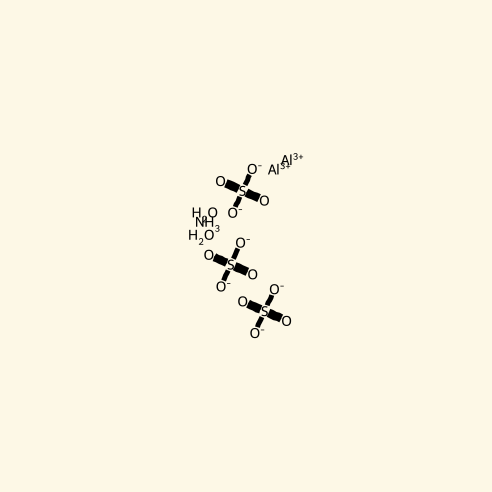 N.O.O.O=S(=O)([O-])[O-].O=S(=O)([O-])[O-].O=S(=O)([O-])[O-].[Al+3].[Al+3]